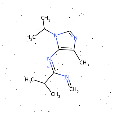 C=N/C(=N\c1c(C)ncn1C(C)C)C(C)C